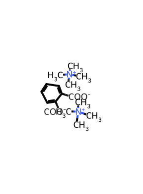 C[N+](C)(C)C.C[N+](C)(C)C.O=C([O-])c1ccccc1C(=O)[O-]